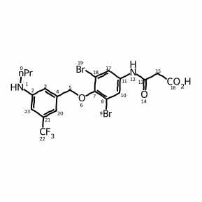 CCCNc1cc(COc2c(Br)cc(NC(=O)CC(=O)O)cc2Br)cc(C(F)(F)F)c1